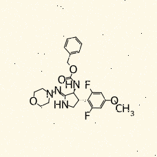 COc1cc(F)c([C@@H]2CN/C(=N\N3CCOCC3)[C@H]2NC(=O)OCc2ccccc2)c(F)c1